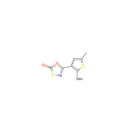 CSc1sc(C)cc1-c1nsc(=O)o1